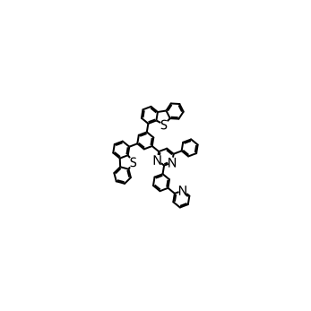 c1ccc(-c2cc(-c3cc(-c4cccc5c4sc4ccccc45)cc(-c4cccc5c4sc4ccccc45)c3)nc(-c3cccc(-c4ccccn4)c3)n2)cc1